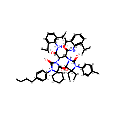 CCCCc1ccc(N2C(=O)N(C(C(=O)Nc3c(C(C)C)cccc3C(C)C)C(C(=O)Nc3c(C(C)C)cccc3C(C)C)N3C(=O)N(c4ccc(C)cc4)C(CC)(CC)C3=O)C(=O)C23CCCCC3)cc1